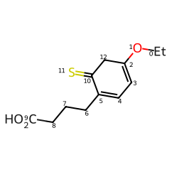 CCOC1=CC=C(CCCC(=O)O)C(=S)C1